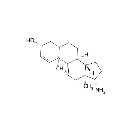 C[C@]12CC=C3[C@@H](CCC4C[C@@H](O)C=C[C@]34C)[C@@H]1CC[C@@H]2N